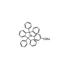 COc1ccc(N2C(c3ccccc3)(c3ccccc3)c3ccccc3C2(c2ccccc2)c2ccccc2)cc1